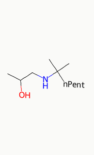 CCCCCC(C)(C)NCC(C)O